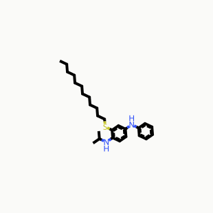 CCCCCCCCCCCCSc1cc(Nc2ccccc2)ccc1NC(C)C